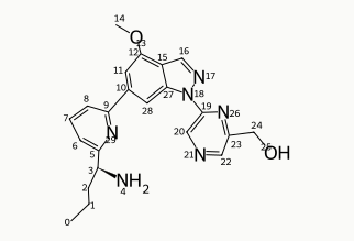 CCC[C@H](N)c1cccc(-c2cc(OC)c3cnn(-c4cncc(CO)n4)c3c2)n1